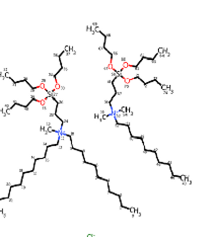 CCCCCCCCCCC[N+](C)(CCCCCCCCCCC)CCC[Si](OCCCC)(OCCCC)OCCCC.CCCCCCCCCC[N+](C)(C)CCC[Si](OCCCC)(OCCCC)OCCCC.[Cl-].[Cl-]